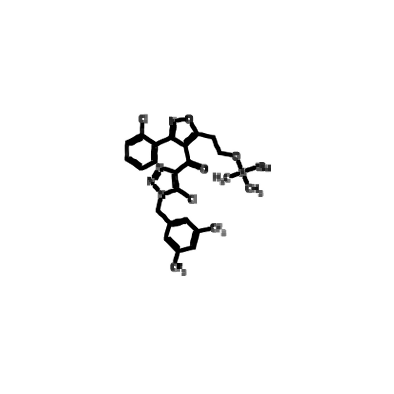 CC(C)(C)[Si](C)(C)OCCc1onc(-c2ccccc2Cl)c1C(=O)c1nnn(Cc2cc(C(F)(F)F)cc(C(F)(F)F)c2)c1Cl